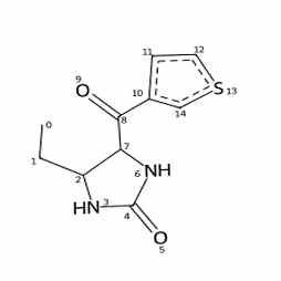 CCC1NC(=O)NC1C(=O)c1ccsc1